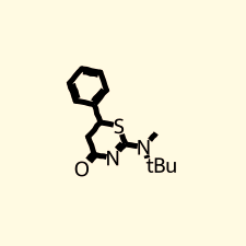 CN(C1=NC(=O)CC(c2ccccc2)S1)C(C)(C)C